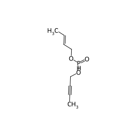 CC#CCO[PH](=O)OCC=CC